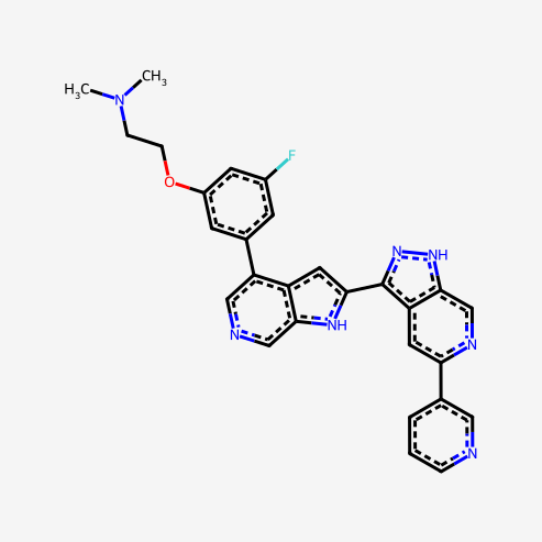 CN(C)CCOc1cc(F)cc(-c2cncc3[nH]c(-c4n[nH]c5cnc(-c6cccnc6)cc45)cc23)c1